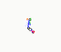 CP(C)(=O)c1cc(Cl)ccc1Nc1nc(Nc2ccc3c(c2)CCC(N2C[C@H]4C[C@@H]2CO4)CC3)ncc1Cl